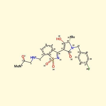 CNC(=O)CNCc1cccc2c1S(=O)(=O)N=C2C1=C(O)[C@H](C(C)(C)C)N(Cc2ccc(F)cc2)C1=O